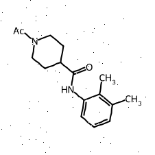 CC(=O)N1CCC(C(=O)Nc2cccc(C)c2C)CC1